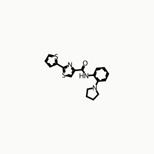 O=C(Nc1ccccc1N1CCCC1)c1csc(-c2cccs2)n1